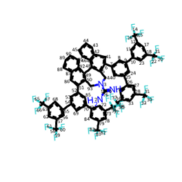 N=C(N)N1Cc2c(-c3cc(-c4cc(C(F)(F)F)cc(C(F)(F)F)c4)cc(-c4cc(C(F)(F)F)cc(C(F)(F)F)c4)c3)cc3ccccc3c2-c2c(c(-c3cc(-c4cc(C(F)(F)F)cc(C(F)(F)F)c4)cc(-c4cc(C(F)(F)F)cc(C(F)(F)F)c4)c3)cc3ccccc23)C1